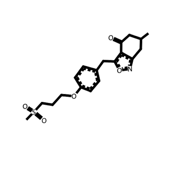 CC1CC(=O)c2c(noc2Cc2ccc(OCCCS(C)(=O)=O)cc2)C1